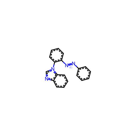 c1ccc(/N=N/c2ccccc2-n2cnc3ccccc32)cc1